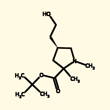 CN1C[C@@H](CCO)CC1(C)C(=O)OC(C)(C)C